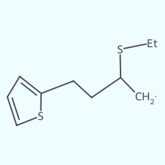 [CH2]C(CCc1cccs1)SCC